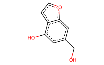 OCc1cc(O)c2ccoc2c1